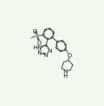 CS(=O)(=O)c1cccc(-c2ccc(OC3CCNCC3)cc2)c1-c1nnn[nH]1